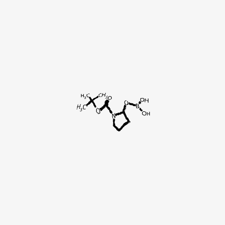 CC(C)(C)OC(=O)N1CCCC1OB(O)O